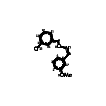 COc1cccc(/[C]=N\OCc2cccc(Cl)c2)c1